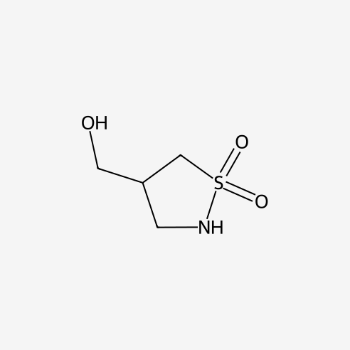 O=S1(=O)CC(CO)CN1